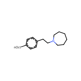 CCCCCCCCc1ccc(CCN2CCCCCC2)cc1